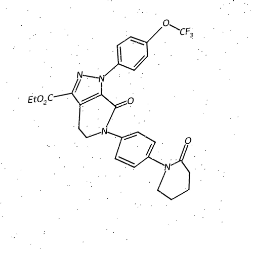 CCOC(=O)c1nn(-c2ccc(OC(F)(F)F)cc2)c2c1CCN(c1ccc(N3CCCCC3=O)cc1)C2=O